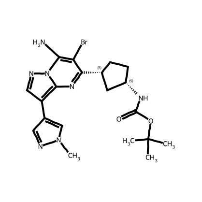 Cn1cc(-c2cnn3c(N)c(Br)c([C@@H]4CC[C@H](NC(=O)OC(C)(C)C)C4)nc23)cn1